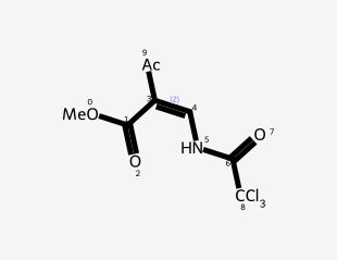 COC(=O)/C(=C\NC(=O)C(Cl)(Cl)Cl)C(C)=O